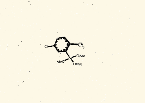 CO[Si](OC)(OC)c1cc(Cl)ccc1C